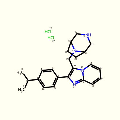 CC(C)c1ccc(-c2nc3ccccn3c2CN2C3CCC2CNC3)cc1.Cl.Cl